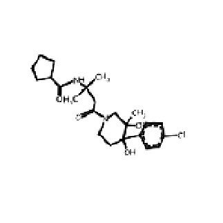 CC(C)(CC(=O)N1CCC(O)(c2ccc(Cl)cc2)C(C)(O)C1)NC(=O)C1CCCC1